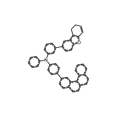 C1=Cc2oc3ccc(-c4cccc(N(c5ccccc5)c5ccc(-c6ccc7ccc8ccc9ccccc9c8c7c6)cc5)c4)cc3c2CC1